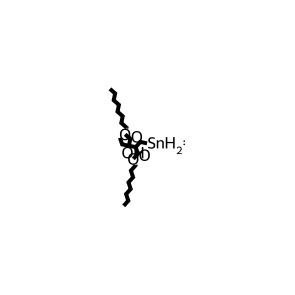 CCCCCCCCOC(=O)C(CC)C(O)(CC)C(=O)OCCCCCCCC.[SnH2]